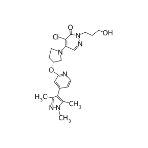 Cc1nn(C)c(C)c1-c1ccnc(O[C@@H]2CCN(c3cnn(CCCO)c(=O)c3Cl)C2)c1